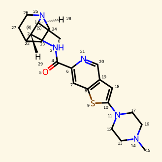 C[C@H]1[C@H](NC(=O)c2cc3sc(N4CCN(C)CC4)cc3cn2)C2CCN1CC2